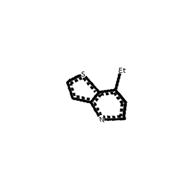 CCc1ccnc2ccsc12